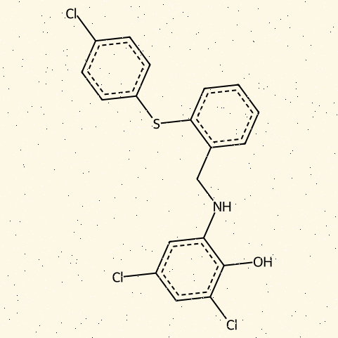 Oc1c(Cl)cc(Cl)cc1NCc1ccccc1Sc1ccc(Cl)cc1